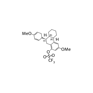 COC1=CCC([C@@H]2Cc3c(OS(=O)(=O)C(F)(F)F)cc(OC)cc3[C@@H]3CCCC[C@@H]32)C=C1